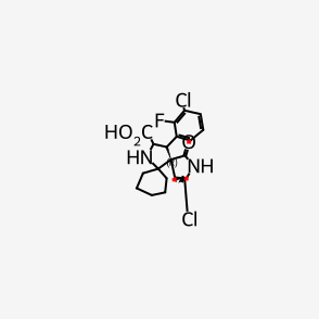 O=C(O)C1NC2(CCCCC2)[C@@]2(C(=O)Nc3cc(Cl)ccc32)C1c1cccc(Cl)c1F